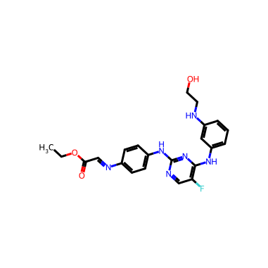 CCOC(=O)C=Nc1ccc(Nc2ncc(F)c(Nc3cccc(NCCO)c3)n2)cc1